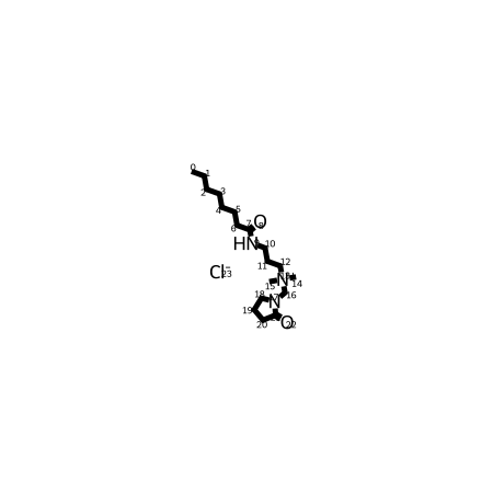 CCCCCCCC(=O)NCCC[N+](C)(C)CN1CCCC1=O.[Cl-]